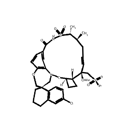 CO[C@]1(CS(=O)(=O)C(C)C)/C=C/C[C@H](C)[C@@H](C)S(=O)(=O)NC(=O)c2ccc3c(c2)N(C[C@@H]2CC[C@H]21)C[C@@]1(CCCc2cc(Cl)ccc21)CO3